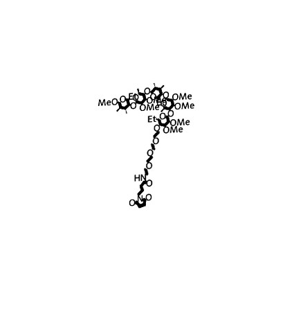 CC[C@H]1O[C@H](OC)[C@H](C)[C@@H](C)[C@@H]1O[C@@H]1O[C@@H](C)[C@@H](O[C@H]2O[C@H](CC)[C@@H](O[C@@H]3O[C@H](C)[C@@H](O[C@H]4O[C@H](CC)[C@@H](OCCOCCOCCOCCNC(=O)CCCN5C(=O)C=CC5=O)[C@H](OC)[C@H]4OC)[C@H](OC)[C@H]3OC)[C@H](C)[C@H]2C)[C@H](OC)[C@H]1OC